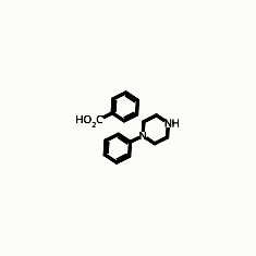 O=C(O)c1ccccc1.c1ccc(N2CCNCC2)cc1